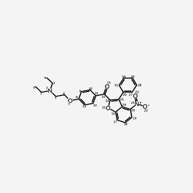 CCN(CC)CCOc1ccc(C(=O)c2oc3cccc([N+](=O)[O-])c3c2-c2ccccc2)cc1